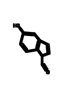 O=CC1C=Cc2cc(O)ccc21